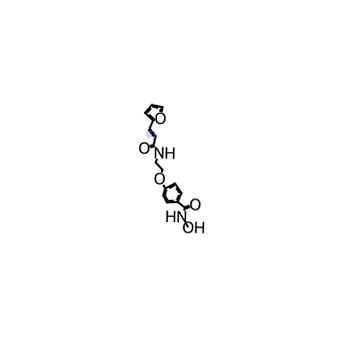 O=C(/C=C/c1ccco1)NCCOc1ccc(C(=O)NO)cc1